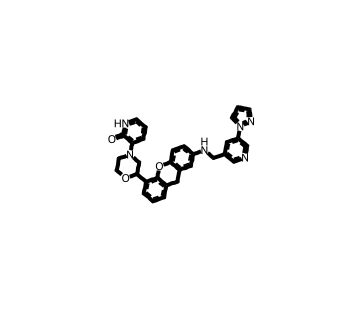 O=c1[nH]cccc1N1CCOC(c2cccc3c2Oc2ccc(NCc4cncc(-n5cccn5)c4)cc2C3)C1